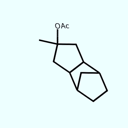 CC(=O)OC1(C)CC2C3CCC(C3)C2C1